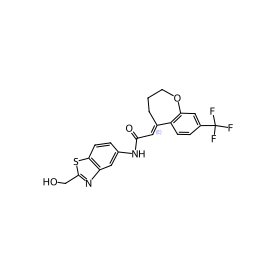 O=C(/C=C1\CCCOc2cc(C(F)(F)F)ccc21)Nc1ccc2sc(CO)nc2c1